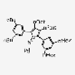 CCCCCCCCC1=C(c2cc(CCCC)cc(CCCC)c2)[N+](=[N-])C(c2cc(CCCCCC)cc(CCCCCC)c2)=C1CCCCC.[Pd]